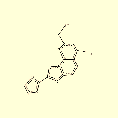 Cc1cc(CC(C)C)nc2c1ccc1nc(-c3nnco3)cn12